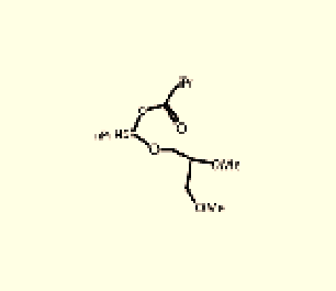 CCC[SiH](OCC(COC)OC)OC(=O)C(C)C